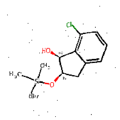 CC(C)(C)[Si](C)(C)O[C@@H]1Cc2cccc(Cl)c2[C@@H]1O